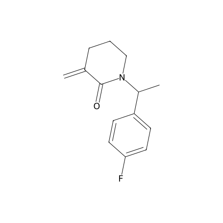 C=C1CCCN(C(C)c2ccc(F)cc2)C1=O